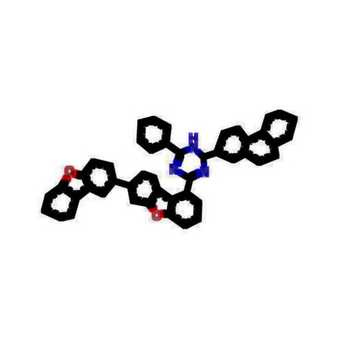 c1ccc(C2=NC(c3cccc4oc5cc(-c6ccc7oc8ccccc8c7c6)ccc5c34)=NC(c3ccc4c(ccc5ccccc54)c3)N2)cc1